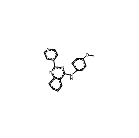 COc1ccc(Nc2nc(-c3ccncc3)nc3ccccc23)cc1